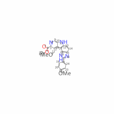 COCc1c(C(=O)OC(C)C)ncc2[nH]c3ccc4nc(-c5ccc(OC)cc5)[nH]c4c3c12